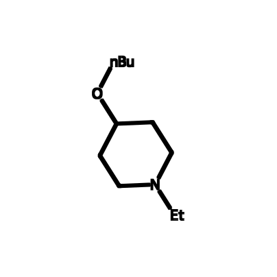 CCCCOC1CCN(CC)CC1